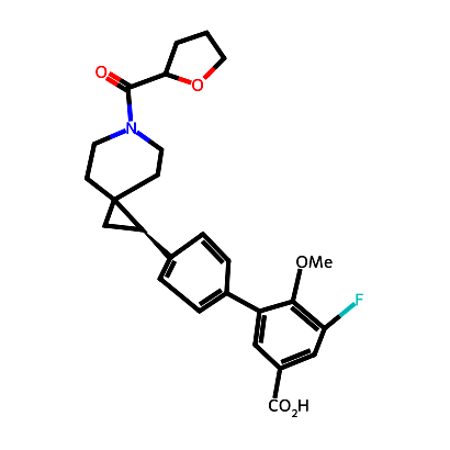 COc1c(F)cc(C(=O)O)cc1-c1ccc([C@H]2CC23CCN(C(=O)C2CCCO2)CC3)cc1